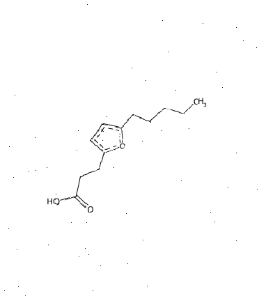 CCCCCc1ccc(CCC(=O)O)o1